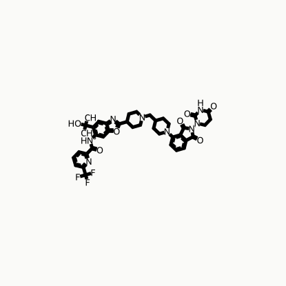 CC(C)(O)c1cc2nc(C3CCN(CC4CCN(c5cccc6c5C(=O)N(N5CCC(=O)NC5=O)C6=O)CC4)CC3)oc2cc1NC(=O)c1cccc(C(F)(F)F)n1